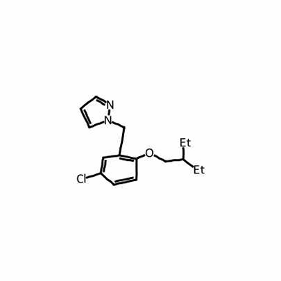 CCC(CC)COc1ccc(Cl)cc1Cn1cccn1